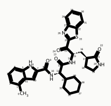 Cc1cccc2[nH]c(C(=O)N[C@H](C(=O)N[C@@H](C[C@@H]3CCNC3=O)C(=O)c3nc4ccccc4s3)C3CCCCC3)cc12